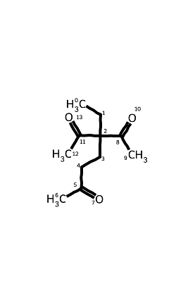 CCC(CCC(C)=O)(C(C)=O)C(C)=O